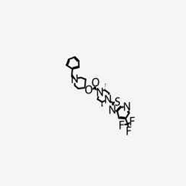 C[C@@H]1CN(c2nc3cc(C(F)(F)F)cnc3s2)[C@@H](C)CN1C(=O)OC1CCN(Cc2ccccc2)CC1